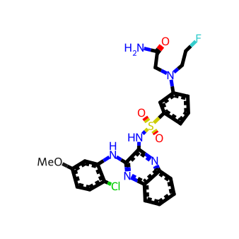 COc1ccc(Cl)c(Nc2nc3ccccc3nc2NS(=O)(=O)c2cccc(N(CCF)CC(N)=O)c2)c1